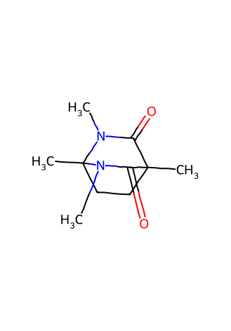 CN1C(=O)C2(C)CCC1(C)N(C)C2=O